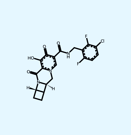 O=C(NCc1c(F)ccc(Cl)c1F)c1cn2c(c(O)c1=O)C(=O)N1[C@H]3CCC3[C@@H]1C2